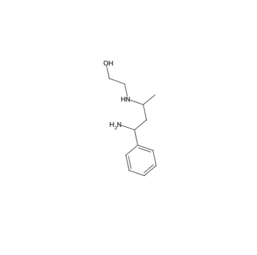 CC(CC(N)c1ccccc1)NCCO